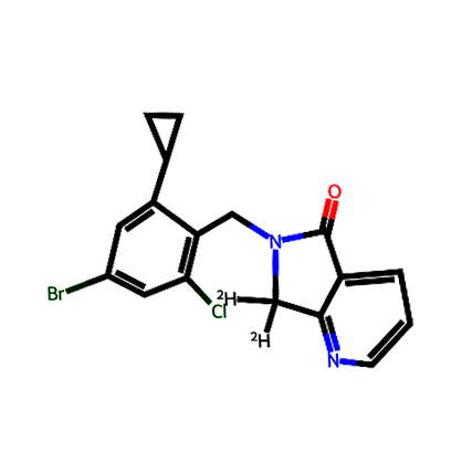 [2H]C1([2H])c2ncccc2C(=O)N1Cc1c(Cl)cc(Br)cc1C1CC1